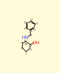 OC1CCCC[C@@H]1NCc1ccccc1